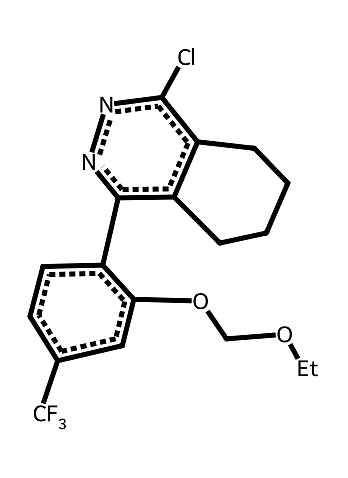 CCOCOc1cc(C(F)(F)F)ccc1-c1nnc(Cl)c2c1CCCC2